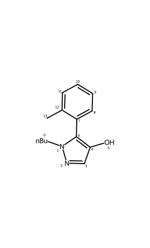 CCCCn1ncc(O)c1-c1ccccc1C